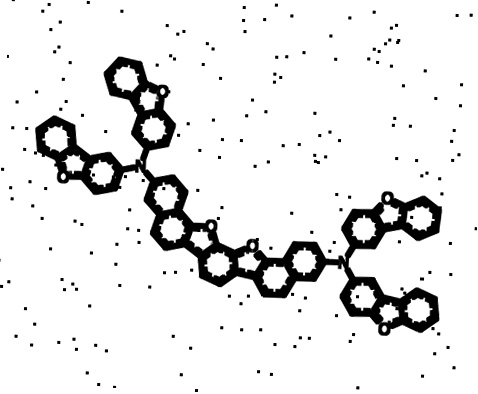 c1ccc2c(c1)oc1ccc(N(c3ccc4c(ccc5c6ccc7c8ccc9cc(N(c%10ccc%11oc%12ccccc%12c%11c%10)c%10ccc%11oc%12ccccc%12c%11c%10)ccc9c8oc7c6oc45)c3)c3ccc4oc5ccccc5c4c3)cc12